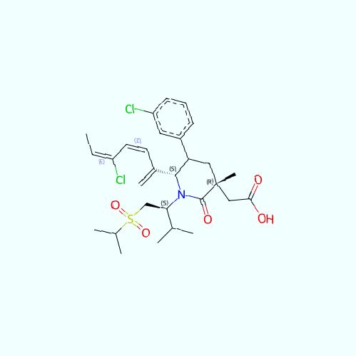 C=C(/C=C\C(Cl)=C/C)[C@@H]1C(c2cccc(Cl)c2)C[C@](C)(CC(=O)O)C(=O)N1[C@H](CS(=O)(=O)C(C)C)C(C)C